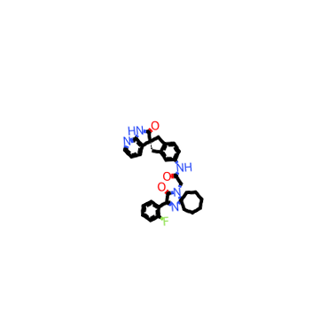 O=C(CN1C(=O)C(c2ccccc2F)=NC12CCCCCC2)Nc1ccc2c(c1)C[C@@]1(C2)C(=O)Nc2ncccc21